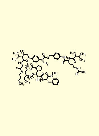 CCCCN(C(=O)CNC(=O)[C@H](C(C)C)N(C)CCc1ccc(N(C)C(=O)OCc2ccc(NC(=O)[C@H](CCCNC(N)=O)NC(=O)[C@@H](N)C(C)C)cc2)cc1)[C@@H]([C@@H](C)CC)[C@@H](CC(=O)N1CCC[C@H]1[C@H](OC)[C@@H](C)C(=O)N[C@@H](Cc1ccccc1)C(=O)OC)OC